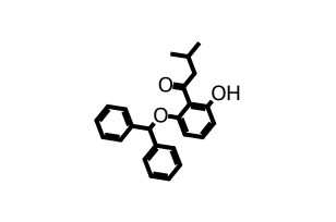 CC(C)CC(=O)c1c(O)cccc1OC(c1ccccc1)c1ccccc1